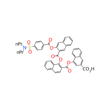 CCCN(CCC)S(=O)(=O)c1ccc(C(=O)Oc2cc3ccccc3cc2C(=O)Oc2c(C(=O)Oc3cc(C(=O)O)cc4ccccc34)ccc3ccccc23)cc1